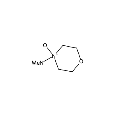 CN[N+]1([O-])CCOCC1